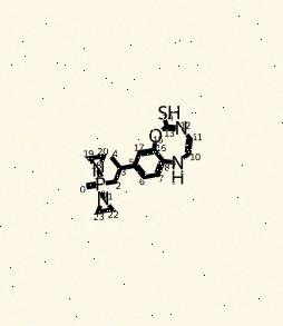 C=P(CC(C)c1ccc2[nH]ccnc(S)oc2c1)(N1CC1)N1CC1